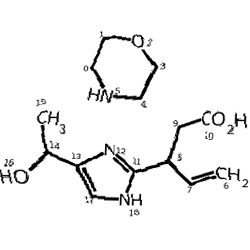 C1COCCN1.C=CC(CC(=O)O)c1nc(C(C)O)c[nH]1